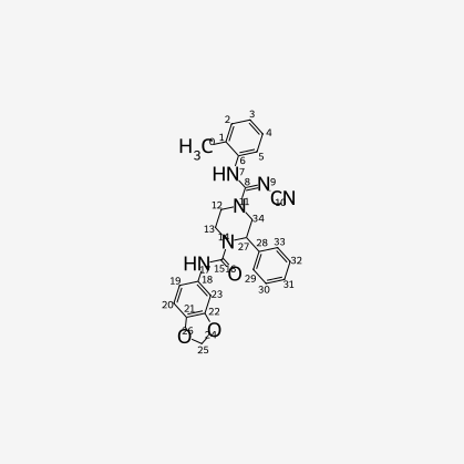 Cc1ccccc1N/C(=N/C#N)N1CCN(C(=O)Nc2ccc3c(c2)OCO3)C(c2ccccc2)C1